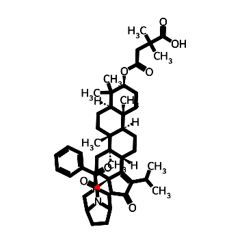 CC(C)C1=C2[C@H]3CC[C@@H]4[C@@]5(C)CC[C@H](OC(=O)CC(C)(C)C(=O)O)C(C)(C)[C@@H]5CC[C@@]4(C)[C@]3(C)CC[C@@]2(C(=O)N2C3CCC2CN(C(=O)c2ccccc2)C3)CC1=O